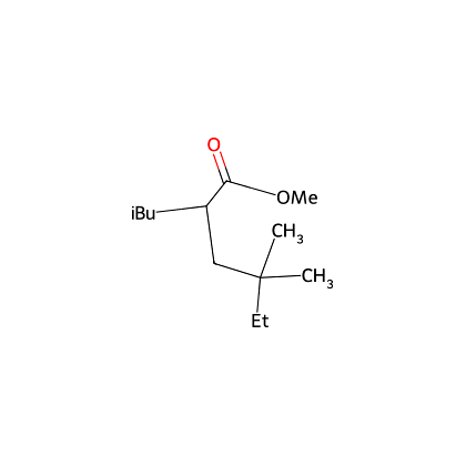 CCC(C)C(CC(C)(C)CC)C(=O)OC